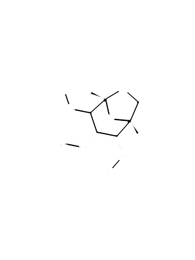 CCCCOC1[C@@H]2OC[C@@H](O2)[C@H](OCCCC)[C@@H]1OCCCC